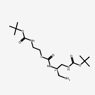 CC(C)(C)OC(=O)NCCOC(=O)N[C@H](CN)CNC(=O)OC(C)(C)C